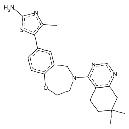 Cc1nc(N)sc1-c1ccc2c(c1)CN(c1ncnc3c1CCC(C)(C)C3)CCO2